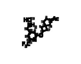 CC(=O)N1CCC2(CC(Oc3cc(CN)cc(C(F)(F)F)n3)C2)C1.Cl